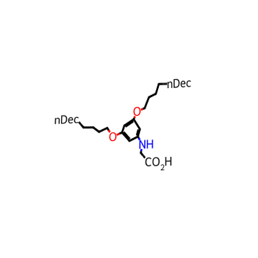 CCCCCCCCCCCCCCOc1cc(NCC(=O)O)cc(OCCCCCCCCCCCCCC)c1